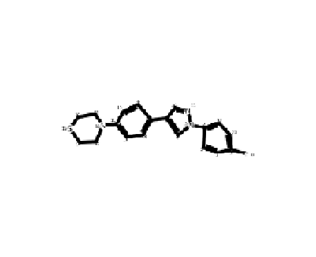 Fc1ccc(-n2cc(-c3ccc(N4CCSCC4)cc3)cn2)cc1